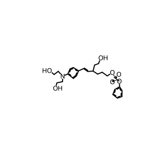 O=S(=O)(OCCCC(/C=C/c1ccc(N(CCO)CCO)cc1)CCO)Oc1ccccc1